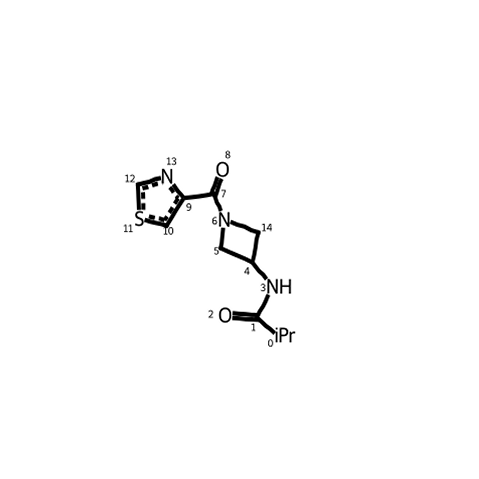 CC(C)C(=O)NC1CN(C(=O)c2cscn2)C1